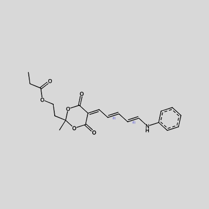 CCC(=O)OCCC1(C)OC(=O)C(=C/C=C/C=C/Nc2ccccc2)C(=O)O1